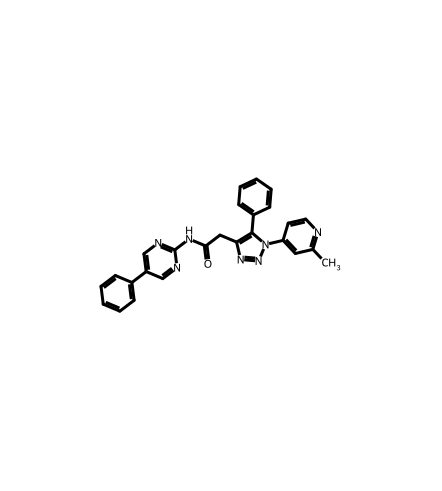 Cc1cc(-n2nnc(CC(=O)Nc3ncc(-c4ccccc4)cn3)c2-c2ccccc2)ccn1